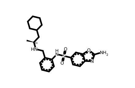 C[C@@H](CC1CCCCC1)NCc1ccccc1NS(=O)(=O)c1ccc2nc(N)oc2c1